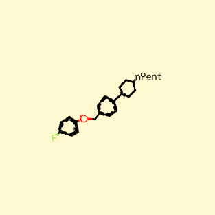 CCCCCC1CCC(c2ccc(COc3ccc(F)cc3)cc2)CC1